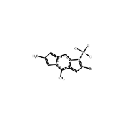 CC1=Cc2c(C)c3c(cc2=C1)[S]([Zr]([Cl])([Cl])[Cl])=C(Br)C=3